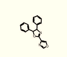 c1ccc(C2N=C(c3cocn3)OC2c2ccccc2)cc1